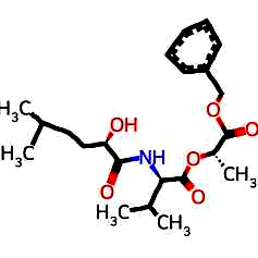 CC(C)CC[C@@H](O)C(=O)N[C@@H](C(=O)O[C@@H](C)C(=O)OCc1ccccc1)C(C)C